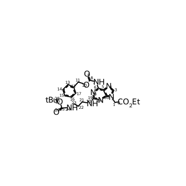 CCOC(=O)Cn1cnc2c(NC(=O)OCc3ccccc3)nc(NCCCNC(=O)OC(C)(C)C)nc21